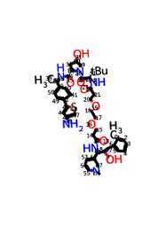 Cc1ccccc1/C=C(\O)C(NC(=O)CCOCCOCCC(=O)N[C@H](C(=O)N1C[C@H](O)C[C@H]1C(=O)N[C@H](C)c1ccc(-c2cc(N)cs2)cc1)C(C)(C)C)c1cccnc1